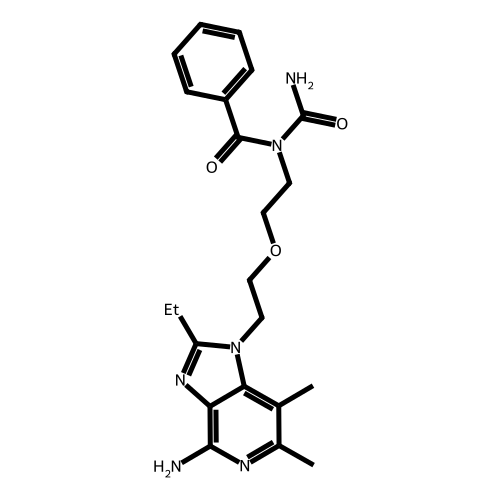 CCc1nc2c(N)nc(C)c(C)c2n1CCOCCN(C(N)=O)C(=O)c1ccccc1